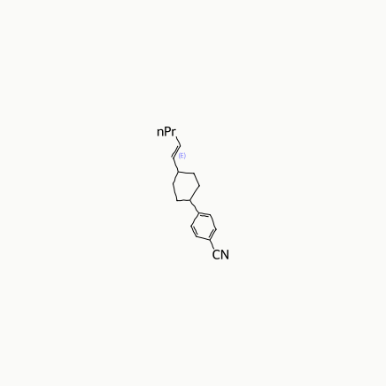 CCC/C=C/C1CCC(c2ccc(C#N)cc2)CC1